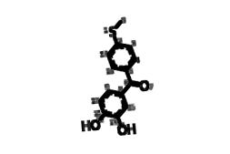 CSc1ccc(C(=O)c2ccc(O)c(O)c2)cc1